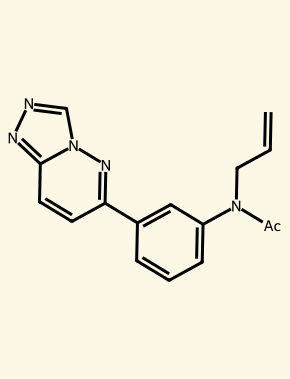 C=CCN(C(C)=O)c1cccc(-c2ccc3nncn3n2)c1